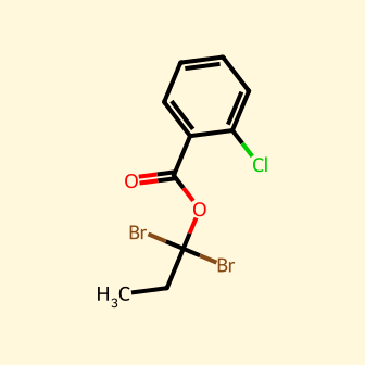 CCC(Br)(Br)OC(=O)c1ccccc1Cl